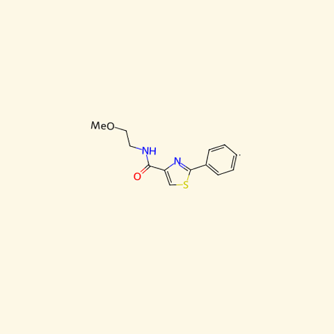 COCCNC(=O)c1csc(-c2cc[c]cc2)n1